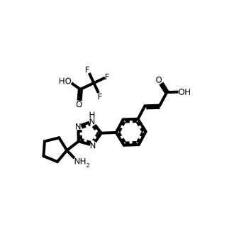 NC1(c2n[nH]c(-c3cccc(C=CC(=O)O)c3)n2)CCCC1.O=C(O)C(F)(F)F